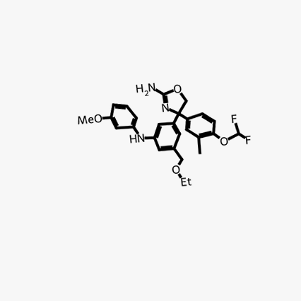 CCOCc1cc(Nc2cccc(OC)c2)cc(C2(c3ccc(OC(F)F)c(C)c3)COC(N)=N2)c1